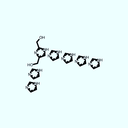 OCc1c[nH]c(CO)n1.c1c[nH]cn1.c1c[nH]cn1.c1c[nH]cn1.c1c[nH]cn1.c1c[nH]cn1.c1c[nH]cn1